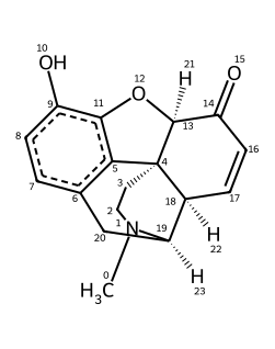 CN1CC[C@]23c4c5ccc(O)c4O[C@H]2C(=O)C=C[C@H]3[C@H]1C5